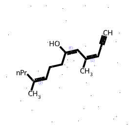 C#C/C=C(C)\C=C(\O)CC/C=C(/C)CCC